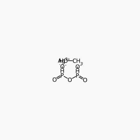 CO.O=[PH]([O-])O[PH](=O)[O-].[Ag+2]